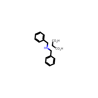 O=C(O)CC(=O)O.c1ccc(CNCc2ccccc2)cc1